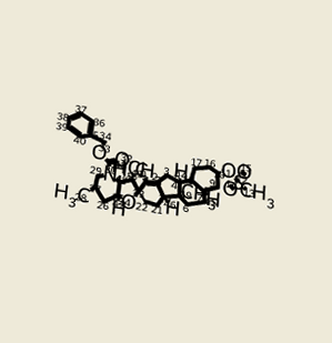 CC1=C2C[C@H]3C(CC[C@@H]4C[C@@H](OS(C)(=O)=O)CCC43C)[C@@H]2CC[C@]12O[C@@H]1CC(C)CN(C(=O)OCc3ccccc3)[C@H]1[C@H]2C